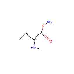 CCC(NC)C(=O)ON